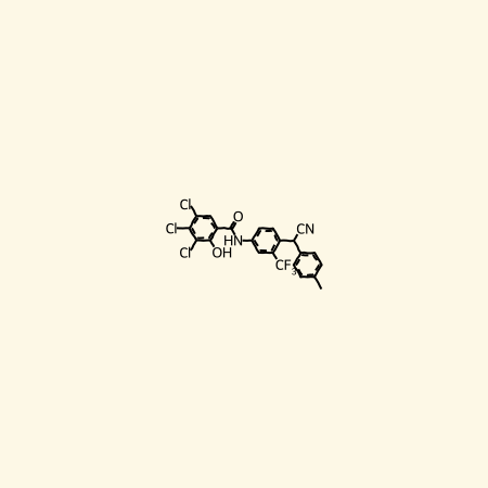 Cc1ccc(C(C#N)c2ccc(NC(=O)c3cc(Cl)c(Cl)c(Cl)c3O)cc2C(F)(F)F)cc1